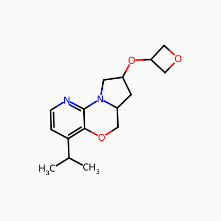 CC(C)c1ccnc2c1OCC1CC(OC3COC3)CN21